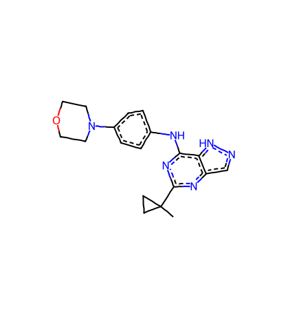 CC1(c2nc(Nc3ccc(N4CCOCC4)cc3)c3[nH]ncc3n2)CC1